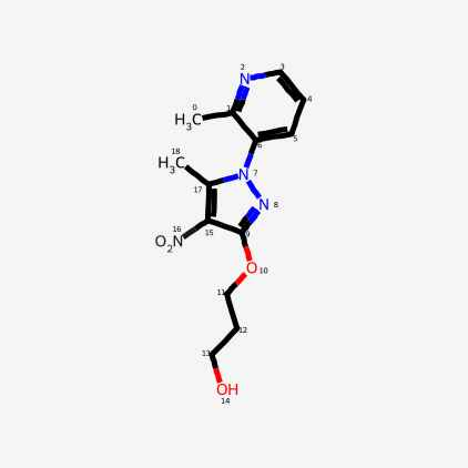 Cc1ncccc1-n1nc(OCCCO)c([N+](=O)[O-])c1C